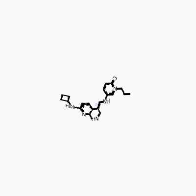 CCCn1cc(N/C=C(\C=N)c2ccc(NC3CCC3)nc2C)ccc1=O